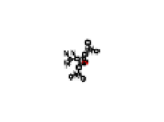 N#Cc1cc(-c2cc(-n3c4ccccc4c4cc(-c5nc(-c6ccccc6)nc(-c6ccccc6)n5)ccc43)c(-n3c4ccccc4c4cc(-c5nc(-c6ccccc6)nc(-c6ccccc6)n5)ccc43)cc2C#N)cc(C(F)(F)F)c1